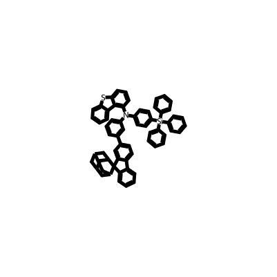 c1ccc([Si](c2ccccc2)(c2ccccc2)c2ccc(N(c3cccc(-c4ccc5c(c4)C4(c6ccccc6-5)C5CC6CC(C5)CC4C6)c3)c3cccc4sc5ccccc5c34)cc2)cc1